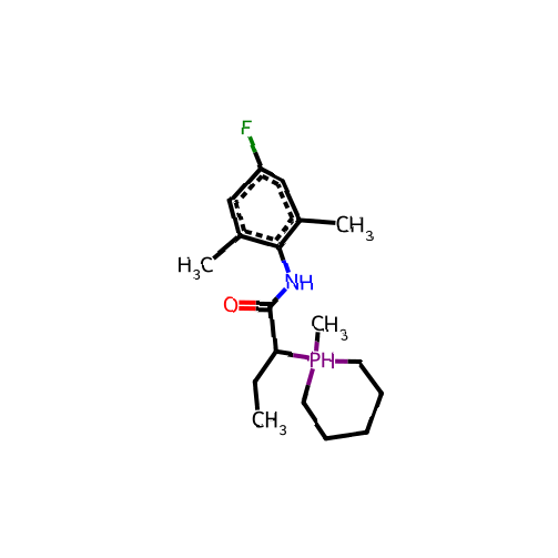 CCC(C(=O)Nc1c(C)cc(F)cc1C)[PH]1(C)CCCCC1